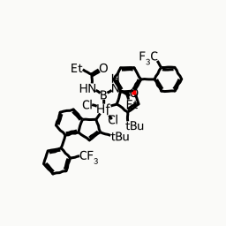 CCC(=O)N[B](NC(=O)CC)[Hf]([Cl])([Cl])([CH]1C(C(C)(C)C)=Cc2c(-c3ccccc3C(F)(F)F)cccc21)[CH]1C(C(C)(C)C)=Cc2c(-c3ccccc3C(F)(F)F)cccc21